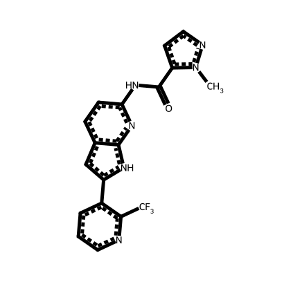 Cn1nccc1C(=O)Nc1ccc2cc(-c3cccnc3C(F)(F)F)[nH]c2n1